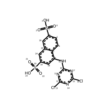 O=S(=O)(O)c1ccc2c(Nc3nc(Cl)nc(Cl)n3)cc(S(=O)(=O)O)cc2c1